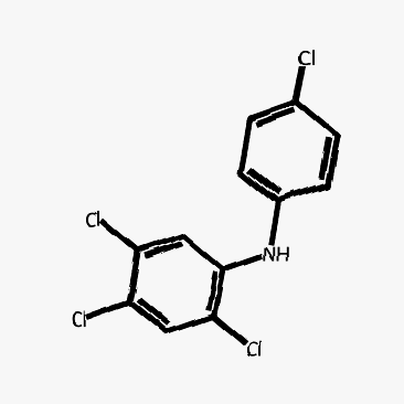 Clc1ccc(Nc2cc(Cl)c(Cl)cc2Cl)cc1